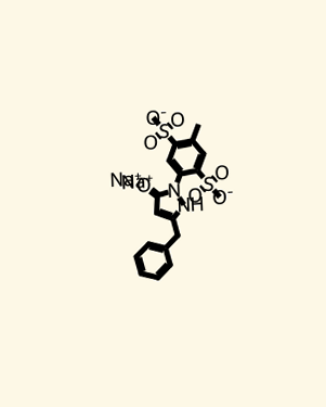 Cc1cc(S(=O)(=O)[O-])c(-n2[nH]c(Cc3ccccc3)cc2=O)cc1S(=O)(=O)[O-].[Na+].[Na+]